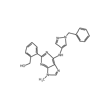 Cn1cnc2c(Nc3cnn(Cc4ccccc4)c3)nc(-c3ccccc3CO)nc21